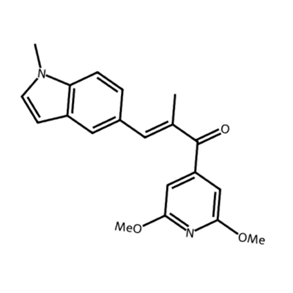 COc1cc(C(=O)/C(C)=C/c2ccc3c(ccn3C)c2)cc(OC)n1